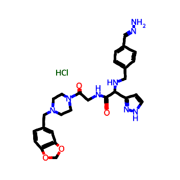 Cl.NN=Cc1ccc(CNC(C(=O)NCC(=O)N2CCN(Cc3ccc4c(c3)OCO4)CC2)c2cc[nH]n2)cc1